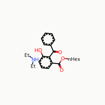 CCCCCCOC(=O)c1cccc(O)c1C(=O)c1ccccc1.CCNCC